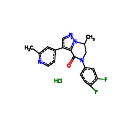 Cc1cc(-c2cnn3c2C(=O)N(c2ccc(F)c(F)c2)CC3C)ccn1.Cl